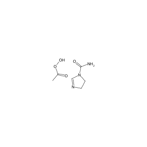 CC(=O)OO.NC(=O)N1C=NCC1